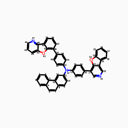 c1ccc2c(c1)ccc1ccc(N(c3ccc(-c4cncc5c4oc4ccccc45)cc3)c3ccc(-c4cccc5c4oc4cccnc45)cc3)cc12